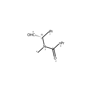 CCCC(=O)N(C)[C@H](C=O)C(C)C